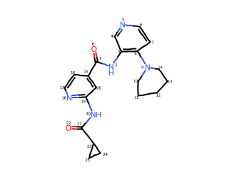 O=C(Nc1cnccc1N1CCCCC1)c1ccnc(NC(=O)C2CC2)c1